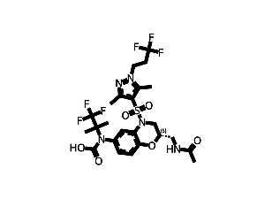 CC(=O)NC[C@H]1CN(S(=O)(=O)c2c(C)nn(CCC(F)(F)F)c2C)c2cc(N(C(=O)O)C(C)(C)C(F)(F)F)ccc2O1